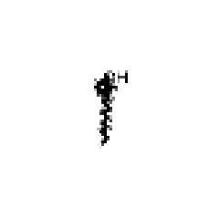 CCCCCCCCCOc1cccc(O)c1C